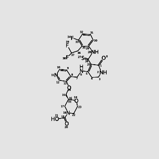 O=C1NCCC(NCc2ccncc2OC[C@@H]2CN(C(=O)O)CCO2)=C1C(=S)Nc1cccc(F)c1CC(F)F